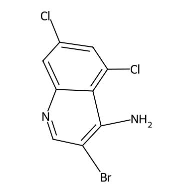 Nc1c(Br)cnc2cc(Cl)cc(Cl)c12